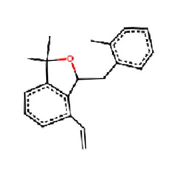 C=Cc1cccc2c1C(Cc1ccccc1C)OC2(C)C